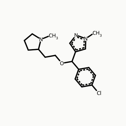 CN1CCCC1CCOC(c1ccc(Cl)cc1)c1cnn(C)c1